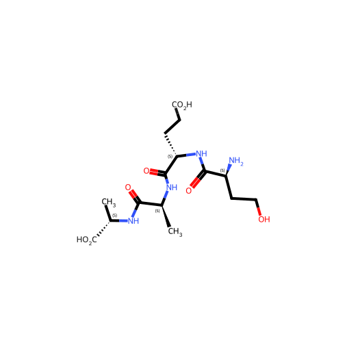 C[C@H](NC(=O)[C@H](C)NC(=O)[C@H](CCC(=O)O)NC(=O)[C@@H](N)CCO)C(=O)O